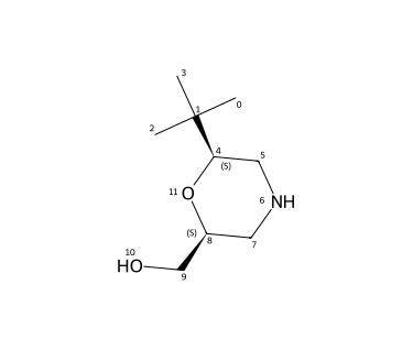 CC(C)(C)[C@H]1CNC[C@@H](CO)O1